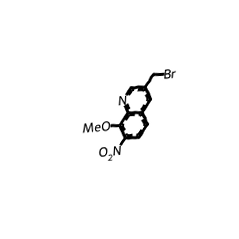 COc1c([N+](=O)[O-])ccc2cc(CBr)cnc12